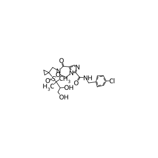 CC(C)(C(O)CO)S(=O)(=O)C1(CN2CCn3c(cnc3C(=O)NCc3ccc(Cl)cc3)C2=O)CC1